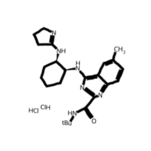 Cc1ccc2nc(C(=O)NC(C)(C)C)nc(N[C@H]3CCCC[C@H]3NC3=NCCC3)c2c1.Cl.Cl